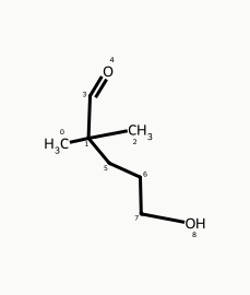 CC(C)(C=O)CCCO